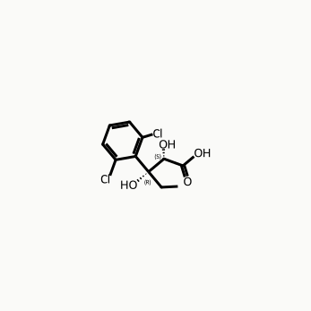 CC[C@@](O)(c1c(Cl)cccc1Cl)[C@H](O)C(=O)O